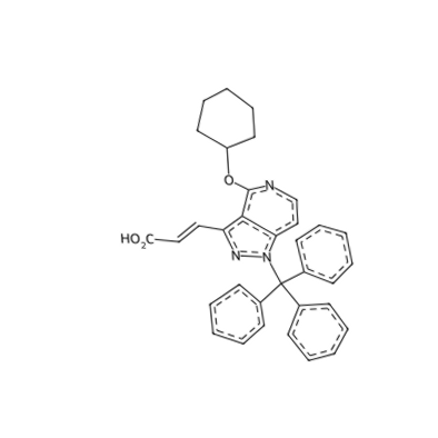 O=C(O)/C=C/c1nn(C(c2ccccc2)(c2ccccc2)c2ccccc2)c2ccnc(OC3CCCCC3)c12